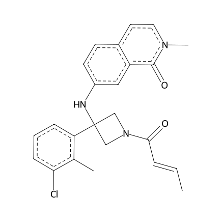 C/C=C/C(=O)N1CC(Nc2ccc3ccn(C)c(=O)c3c2)(c2cccc(Cl)c2C)C1